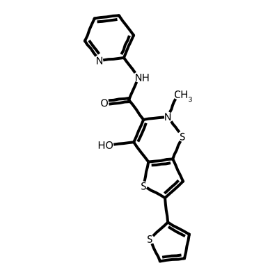 CN1Sc2cc(-c3cccs3)sc2C(O)=C1C(=O)Nc1ccccn1